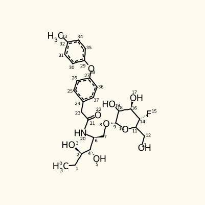 CC[C@@H](O)[C@@H](O)[C@H](CO[C@H]1OC(CO)[C@@H](F)[C@H](O)C1O)NC(=O)Cc1ccc(Oc2ccc(C)cc2)cc1